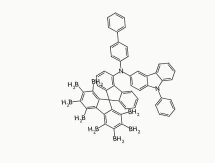 Bc1c(B)c(B)c2c(c1B)-c1c(B)c(B)c(B)c(B)c1C21c2ccccc2-c2c(N(c3ccc(-c4ccccc4)cc3)c3ccc4c(c3)c3ccccc3n4-c3ccccc3)cccc21